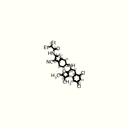 CCC(CC)C(=O)Nc1sc2c(c1C#N)CCC(NC(Cc1ccc(Cl)cc1Cl)c1cc(C)c(C)o1)C2